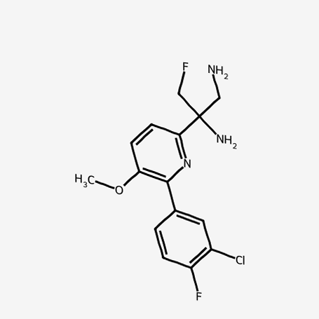 COc1ccc(C(N)(CN)CF)nc1-c1ccc(F)c(Cl)c1